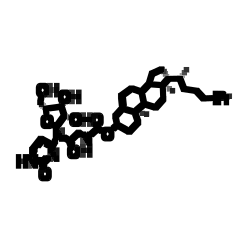 CC(C)CCC[C@@H](C)[C@H]1CCC2C3CC=C4CC(OC(=O)NCC(=O)N(c5cc[nH]c(=O)n5)[C@@H]5O[C@H](CO)[C@@H](O)[C@@H]5O)CC[C@]4(C)C3CC[C@@]21C